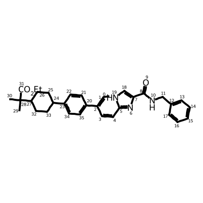 C/C=C(\C=C/c1nc(C(=O)NCc2ccccc2)c[nH]1)c1ccc(C2CCC(C(C)(C)C(=O)OCC)CC2)cc1